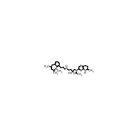 C=C1CCc2ncc(N3C[C@](S)(CCNCCCc4cccc5c4N(C)C(=C)C=C(C)C5)OC3=C)nc2N1